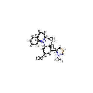 Cc1c(-c2csc[n+]2C)cc(C(C)(C)C)cc1-[n+]1c(C)ccc2ccccc21